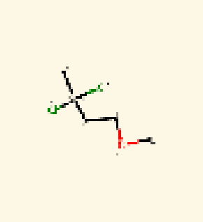 COCC[Si](C)(Cl)Cl